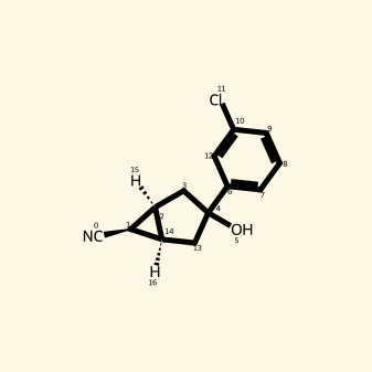 N#C[C@H]1[C@H]2CC(O)(c3cccc(Cl)c3)C[C@@H]12